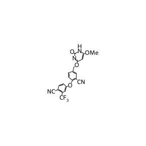 COc1cc(OCc2ccc(Oc3ccc(C#N)c(C(F)(F)F)c3)c(C#N)c2)nc(=O)[nH]1